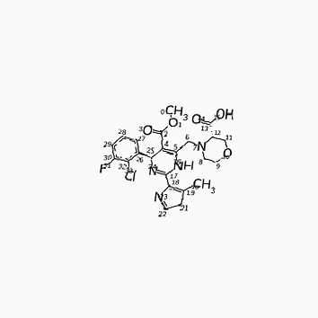 COC(=O)C1=C(CN2CCOC[C@H]2C(=O)O)NC(C2=C(C)CC=N2)=N[C@H]1c1cccc(F)c1Cl